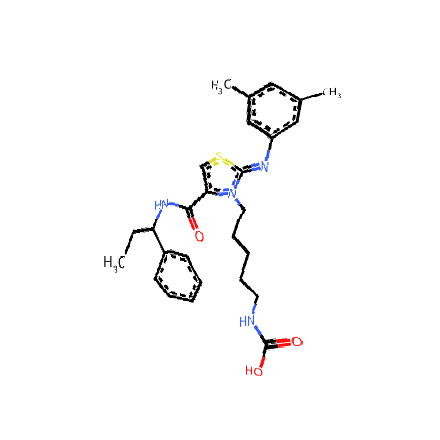 CCC(NC(=O)c1csc(=Nc2cc(C)cc(C)c2)n1CCCCCNC(=O)O)c1ccccc1